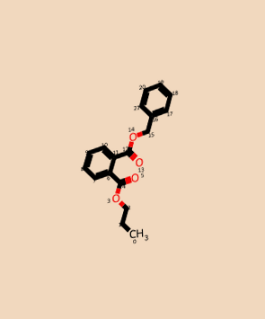 CCCOC(=O)c1ccccc1C(=O)OCc1ccccc1